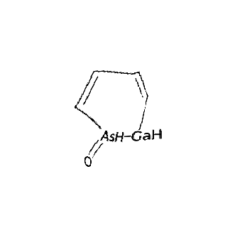 O=[AsH]1C=CC=[CH][GaH]1